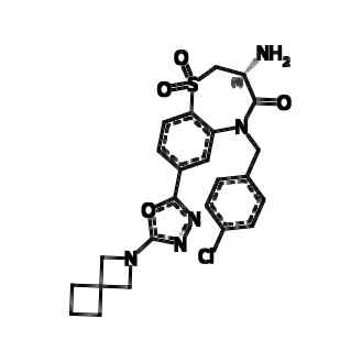 N[C@H]1CS(=O)(=O)c2ccc(-c3nnc(N4CC5(CCC5)C4)o3)cc2N(Cc2ccc(Cl)cc2)C1=O